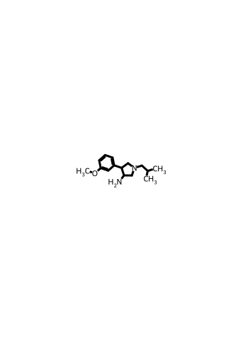 COc1cccc(C2CN(C[C](C)C)CC2N)c1